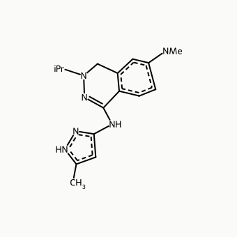 CNc1ccc2c(c1)CN(C(C)C)N=C2Nc1cc(C)[nH]n1